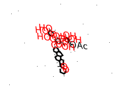 CC(=O)OC[C@@H]1O[C@@H](O[C@H]2[C@H](O)[C@@H](O[C@@H]3O[C@@H](C)[C@H](O)[C@@H](O)[C@H]3O)[C@H](O[C@H]3CC[C@@]4(C)C(=CCC5C6CC7O[C@]8(CC[C@@H](C)CO8)[C@@H](C)C7[C@@]6(C)CCC54)C3)O[C@@H]2CO)[C@H](O)[C@H]1O